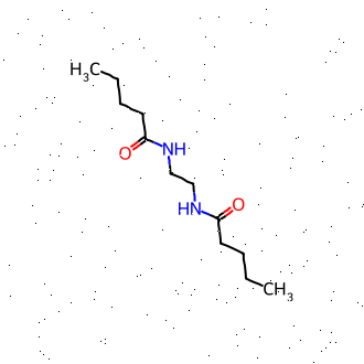 CCCCC(=O)NCCNC(=O)CCCC